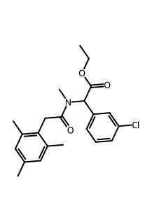 CCOC(=O)C(c1cccc(Cl)c1)N(C)C(=O)Cc1c(C)cc(C)cc1C